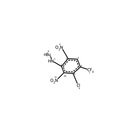 CCCCNc1c([N+](=O)[O-])cc(C(F)(F)F)c(Cl)c1[N+](=O)[O-]